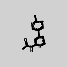 CC(=O)Nc1cc(-c2c[c]c(C)nc2)[c]cn1